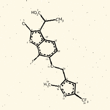 CC(C(=O)O)c1c(Cl)sc2c(F)c(OCc3cc(C(F)(F)F)nn3C)ccc12